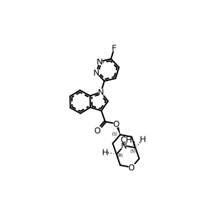 CN1[C@@H]2COC[C@H]1C[C@@H](OC(=O)c1cn(-c3ccc(F)nn3)c3ccccc13)C2